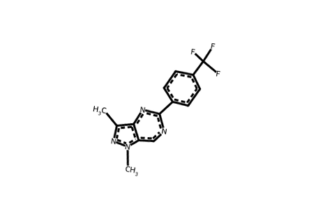 Cc1nn(C)c2cnc(-c3ccc(C(F)(F)F)cc3)nc12